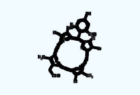 CCC1=C(CC)c2nc1cc1[nH]c(cc3nc(cc4[nH]c(c(CC)c4CC)c2-c2c(C)cc(O)cc2C=O)C(C)=C3CC=O)c(CC)c1C